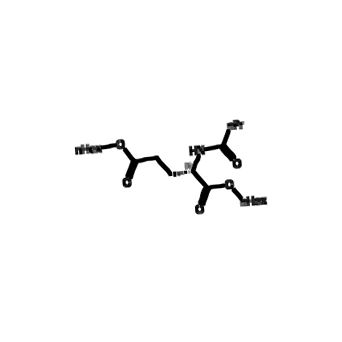 CCCCCCOC(=O)CC[C@H](NC(=O)CCC)C(=O)OCCCCCC